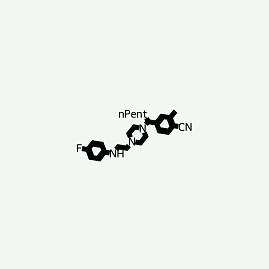 CCCCCC(c1ccc(C#N)c(C)c1)N1CCN(CCNc2ccc(F)cc2)CC1